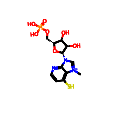 C[n+]1cn([C@@H]2O[C@H](COP(=O)(O)O)[C@@H](O)[C@H]2O)c2nccc(S)c21